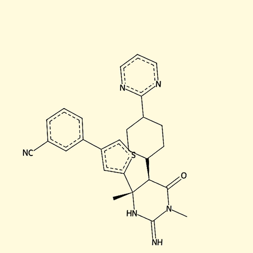 CN1C(=N)N[C@](C)(c2cc(-c3cccc(C#N)c3)cs2)[C@@H](C2CCC(c3ncccn3)CC2)C1=O